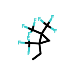 CCC1(C(F)(F)F)CC1(C(F)(F)F)C(F)(F)F